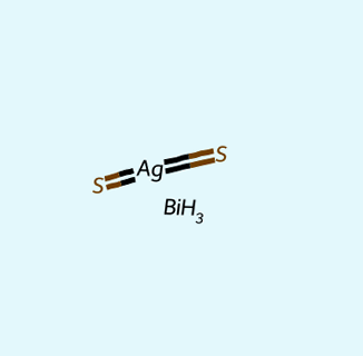 [BiH3].[S]=[Ag]=[S]